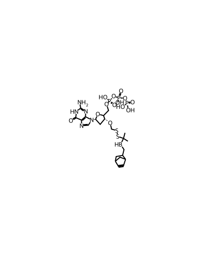 CC(C)(BCC1CC2C#CC1C2)SSCO[C@@H]1C[C@H](n2cnc3c(=O)[nH]c(N)nc32)OC1COP(=O)(O)OP(=O)(O)OP(=O)(O)O